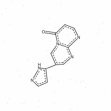 O=c1ccnc2ncc(-c3ccn[nH]3)cn12